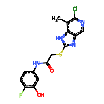 Cc1c(Cl)ncc2nc(SCC(=O)Nc3ccc(F)c(O)c3)[nH]c12